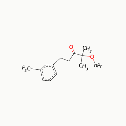 CCCOC(C)(C)C(=O)CCc1cccc(C(F)(F)F)c1